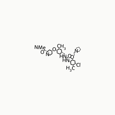 CNC(=O)c1cc(Oc2ccc(CNC(=O)Nc3cc(C)c(Cl)cc3OCCN3CCCC3)cc2C)ccn1